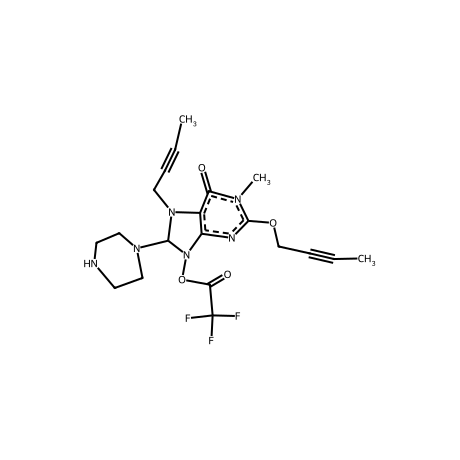 CC#CCOc1nc2c(c(=O)n1C)N(CC#CC)C(N1CCNCC1)N2OC(=O)C(F)(F)F